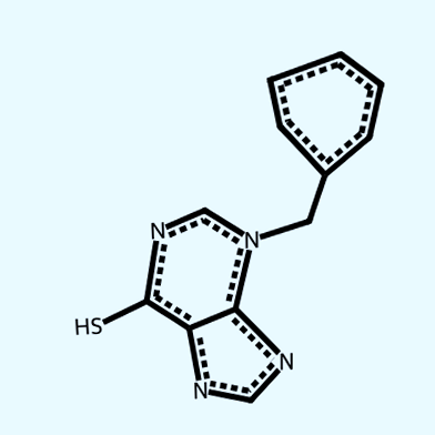 Sc1ncn(Cc2ccccc2)c2ncnc1-2